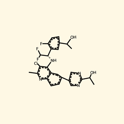 Cc1nc2ccc(-c3cnc(C(C)O)nc3)cc2c(N[C@@H](c2cc(C(C)O)ccc2F)C(F)F)c1Cl